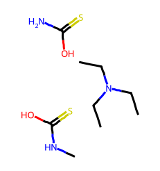 CCN(CC)CC.CNC(O)=S.NC(O)=S